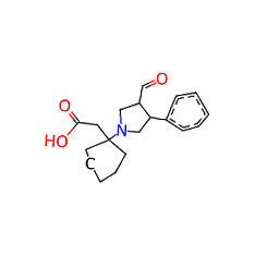 O=CC1CN(C2(CC(=O)O)CCCCC2)CC1c1ccccc1